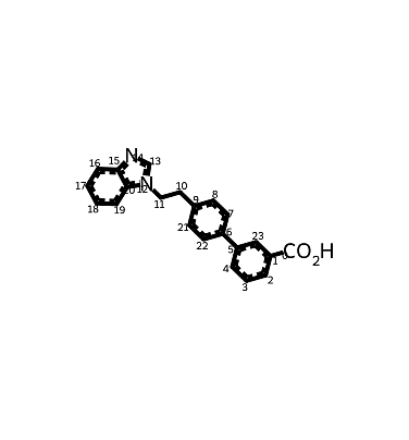 O=C(O)c1cccc(-c2ccc(CCn3cnc4ccccc43)cc2)c1